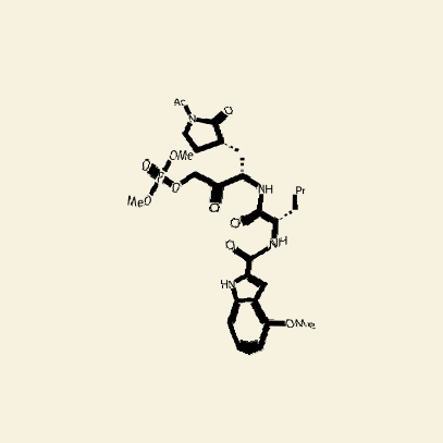 COc1cccc2[nH]c(C(=O)N[C@@H](CC(C)C)C(=O)N[C@@H](C[C@@H]3CCN(C(C)=O)C3=O)C(=O)COP(=O)(OC)OC)cc12